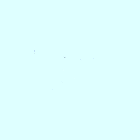 CC1CCCN1c1nc(Nc2ccc(S(C)(=O)=O)cc2)c2nc(Nc3c(Cl)cccc3Cl)sc2n1